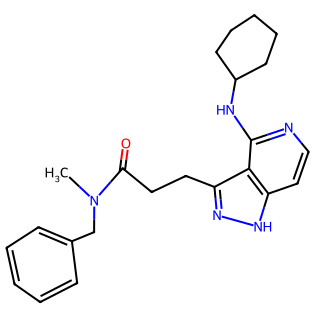 CN(Cc1ccccc1)C(=O)CCc1n[nH]c2ccnc(NC3CCCCC3)c12